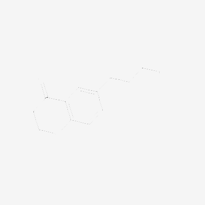 CCCCc1ccc2c(c1)C(=O)CCO2